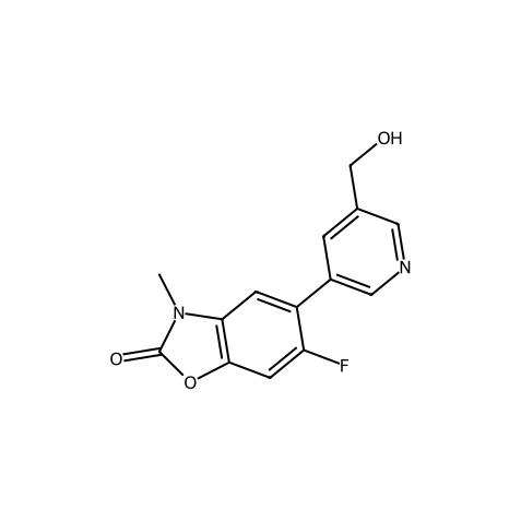 Cn1c(=O)oc2cc(F)c(-c3cncc(CO)c3)cc21